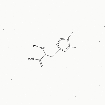 C=C(NC)C(Cc1ccc(C)c(C)c1)NC(C)C